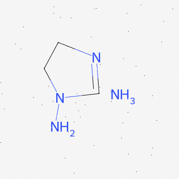 N.NN1C=NCC1